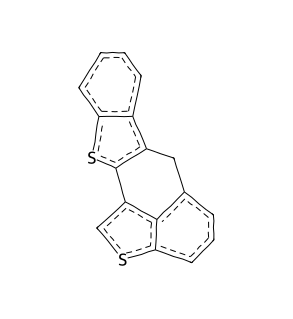 c1ccc2c3c(sc2c1)-c1csc2cccc(c12)C3